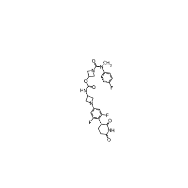 CN(C(=O)N1CC(OC(=O)NC2CN(c3cc(F)c(C4CCC(=O)NC4=O)c(F)c3)C2)C1)c1ccc(F)cc1